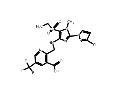 CCS(=O)(=O)c1c(NCc2ncc(C(F)(F)F)cc2C(=O)O)nc(-n2ccc(Cl)n2)n1C